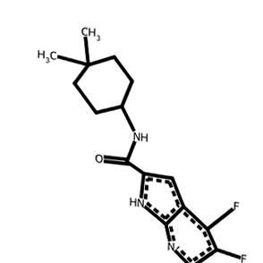 CC1(C)CCC(NC(=O)c2cc3c(F)c(F)cnc3[nH]2)CC1